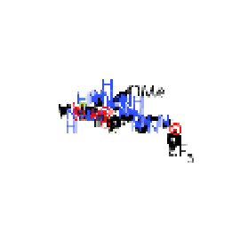 COCc1cc2c(Nc3cc([C@@H]4OC[C@H](OC(=O)NC5(C)CC5)[C@H]4F)[nH]n3)ncc(-n3nc(Nc4nccc5nc(CN6CC(Oc7ccc(C(F)(F)F)cc7)C6)cn45)cc3[C@H]3C[C@@H](F)[C@@H](OC(=O)NC(C)C)C3)n2n1